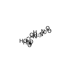 COC(=O)c1ccc(N2CCC(CNC[C@@H](O)c3ccc(O)c(NS(C)(=O)=O)c3)CC2)nc1